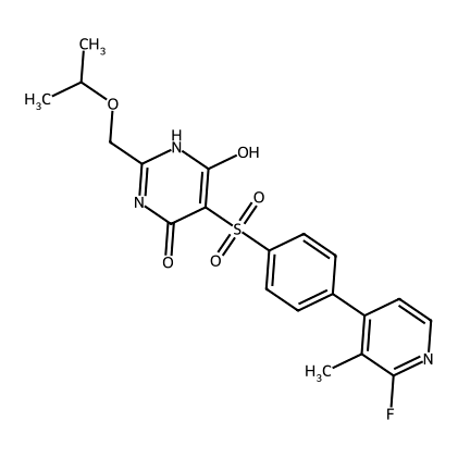 Cc1c(-c2ccc(S(=O)(=O)c3c(O)[nH]c(COC(C)C)nc3=O)cc2)ccnc1F